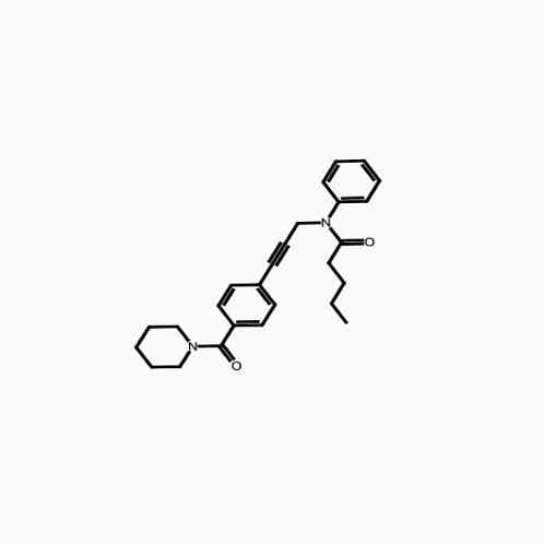 CCCCC(=O)N(CC#Cc1ccc(C(=O)N2CCCCC2)cc1)c1ccccc1